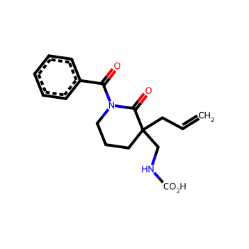 C=CCC1(CNC(=O)O)CCCN(C(=O)c2ccccc2)C1=O